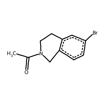 CC(=O)N1CCc2cc(Br)ccc2C1